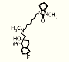 CC(C)[C@H]1c2ccc(F)cc2CC[C@]1(O)CCN(C)CCCCCCn1c(=O)n(C)c2ccccc21